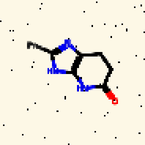 CC(C)c1nc2c([nH]1)NC(=O)CC2